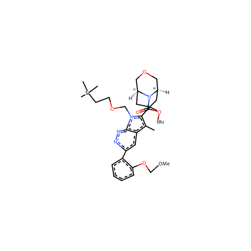 COCOc1ccccc1-c1cc2c(C)c(C3(C)C[C@H]4COC[C@@H](C3)N4C(=O)OC(C)(C)C)n(COCC[Si](C)(C)C)c2nn1